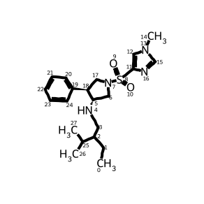 CCC(CN[C@H]1CN(S(=O)(=O)c2cn(C)cn2)C[C@@H]1c1ccccc1)C(C)C